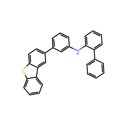 c1ccc(-c2ccccc2Nc2cccc(-c3ccc4sc5ccccc5c4c3)c2)cc1